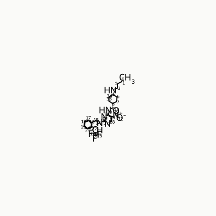 CCCCN[C@H]1CC[C@H](CNc2nc(NCc3ccccc3OC(F)(F)F)ncc2[N+](=O)[O-])CC1